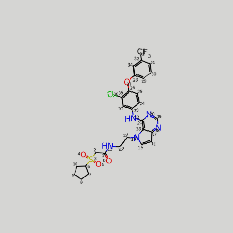 O=C(CS(=O)(=O)C1CCCC1)NCCn1ccc2ncnc(Nc3ccc(Oc4cccc(C(F)(F)F)c4)c(Cl)c3)c21